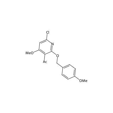 COc1ccc(COc2nc(Cl)cc(OC)c2C(C)=O)cc1